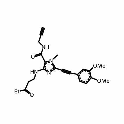 C#CCNC(=O)c1c(NCCC(=O)CC)nc(C#Cc2ccc(OC)c(OC)c2)n1C